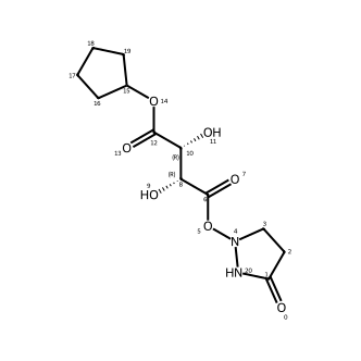 O=C1CCN(OC(=O)[C@H](O)[C@@H](O)C(=O)OC2CCCC2)N1